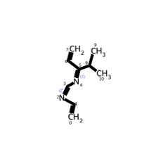 C=C/N=C\N=C(/C=C)C(C)C